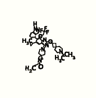 C=CC(=O)N1CC2(CCN(c3nc(OC4CC5(CCN(C(C)C)CC5)C4)nc4c(OCC(F)(F)F)c(-c5c(C)ccc6[nH]ncc56)c(C5CC5)cc34)CC2)C1